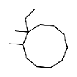 CCC1(C)CCCCCCCCC1C